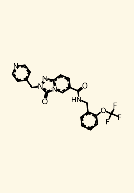 O=C(NCc1ccccc1OC(F)(F)F)c1ccc2nn(Cc3ccncc3)c(=O)n2c1